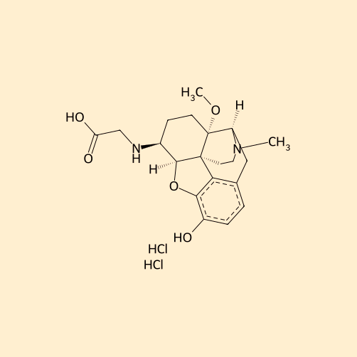 CO[C@@]12CC[C@H](NCC(=O)O)[C@@H]3Oc4c(O)ccc5c4[C@@]31CCN(C)[C@@H]2C5.Cl.Cl